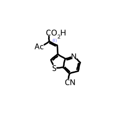 CC(=O)/C(=C\c1csc2c(C#N)ccnc12)C(=O)O